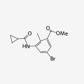 COC(=O)c1cc(Br)cc(NC(=O)C2CC2)c1C